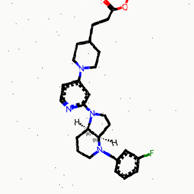 CCOC(=O)CCC1CCN(c2ccnc(N3CC[C@@H]4[C@H]3CCCN4c3cccc(F)c3)c2)CC1